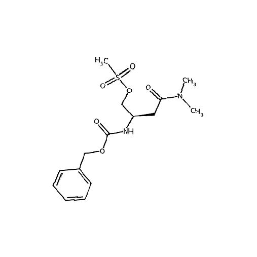 CN(C)C(=O)C[C@H](COS(C)(=O)=O)NC(=O)OCc1ccccc1